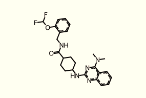 CN(C)c1nc(NC2CCC(C(=O)NCc3ccccc3OC(F)F)CC2)nc2ccccc12